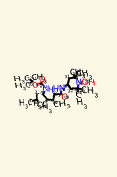 CC(C)C[C@H](NC(=O)OC(C)(C)C)[C@H](C)[C@@H](C)CC(=O)NC1CC(C)(C)N(O)C(C)(C)C1